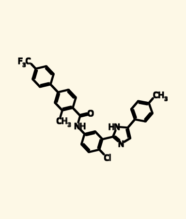 Cc1ccc(-c2cnc(-c3cc(NC(=O)c4ccc(-c5ccc(C(F)(F)F)cc5)cc4C)ccc3Cl)[nH]2)cc1